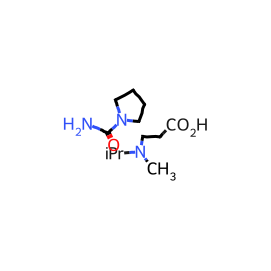 CC(C)N(C)CCC(=O)O.NC(=O)N1CCCC1